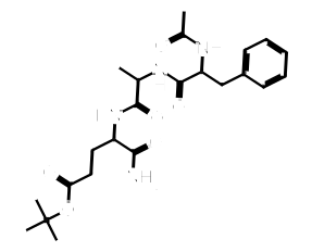 CC(=O)NC(Cc1ccccc1)C(=O)NC(C)C(=O)NC(CCC(=O)OC(C)(C)C)C(N)=O